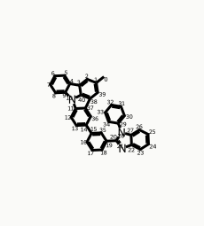 Cc1cc2c3ccccc3n3c4ccc(-c5cccc(-c6nc7ccccc7n6-c6ccccc6)c5)cc4c(c1)c23